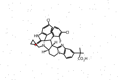 CC(C)(C(=O)O)c1ccc2c(c1)nc1n2CC[C@H]2[C@@H]1[C@H](c1cccc(Cl)c1F)[C@]1(C(=O)Nc3cc(Cl)ccc31)N2CC1CC1